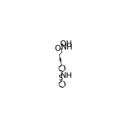 O=C(CCC#Cc1ccc(NSc2ccccc2)cc1)NO